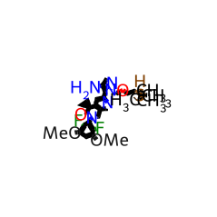 COc1cc(OC)c(F)c(N2Cc3cnc(-c4c(N)cnn4COCC[SH](C)(C)(C)C)cc3C3(CC3)C2=O)c1F